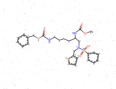 CC(C)(C)OC(=O)NC(CCCCNC(=O)OCc1ccccc1)CN(Cc1cccs1)S(=O)(=O)c1ccccc1